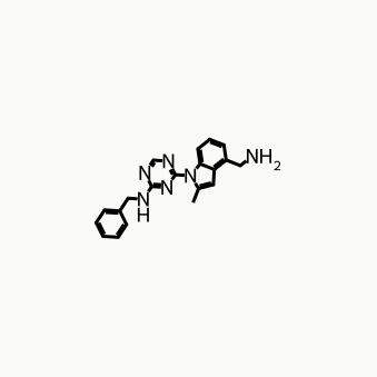 Cc1cc2c(CN)cccc2n1-c1ncnc(NCc2ccccc2)n1